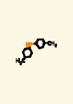 CC1CCC(PC2CCC(C)CC2)CC1